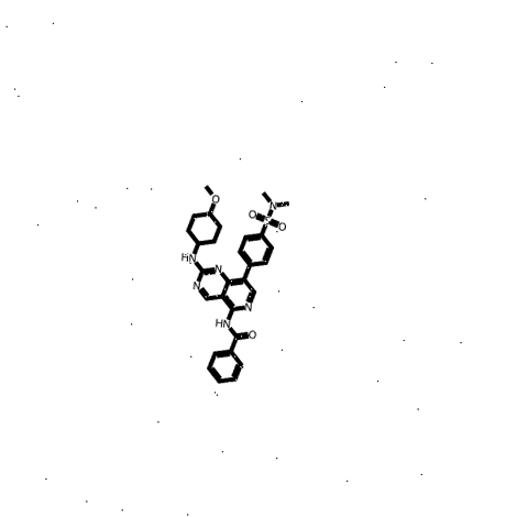 COC1CCC(Nc2ncc3c(NC(=O)c4ccccc4)ncc(-c4ccc(S(=O)(=O)N(C)C)cc4)c3n2)CC1